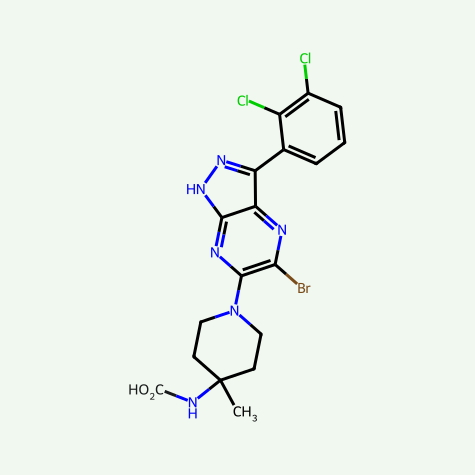 CC1(NC(=O)O)CCN(c2nc3[nH]nc(-c4cccc(Cl)c4Cl)c3nc2Br)CC1